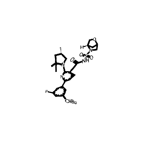 CC(C)COc1cc(F)cc(-c2ccc(C(=O)NS(=O)(=O)N3CC4C[C@H]3CO4)c(N3C[C@@H](C)CC3(C)C)n2)c1